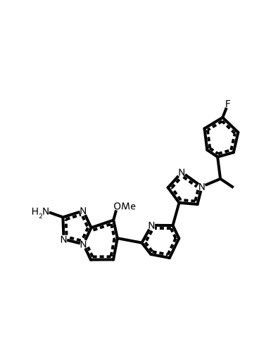 COc1c(-c2cccc(-c3cnn(C(C)c4ccc(F)cc4)c3)n2)ccn2nc(N)nc12